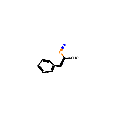 N=P/C(C=O)=C\c1ccccc1